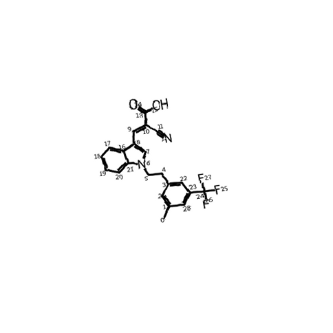 Cc1cc(CCn2cc(/C=C(\C#N)C(=O)O)c3ccccc32)cc(C(F)(F)F)c1